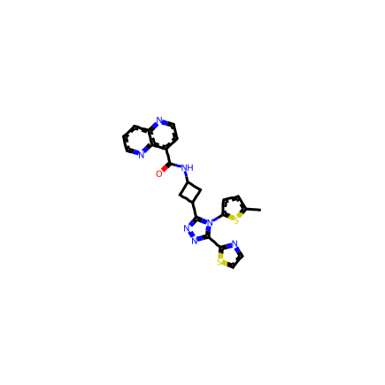 Cc1ccc(-n2c(-c3nccs3)nnc2C2CC(NC(=O)c3ccnc4cccnc34)C2)s1